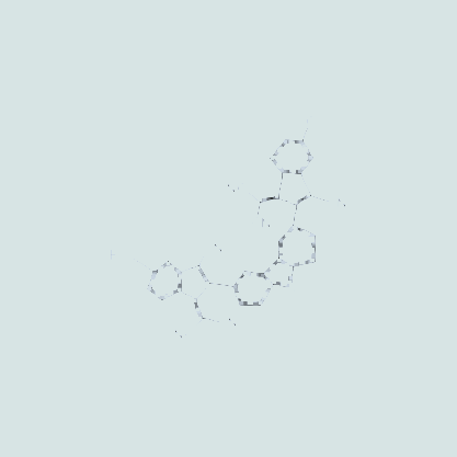 N#CC(C#N)=C1C(c2ccc3sc4ccc(C5=C(C#N)c6cc(C(F)(F)F)ccc6C5=C(C#N)C#N)cc4c3c2)=C(C#N)c2cc(C(F)(F)F)ccc21